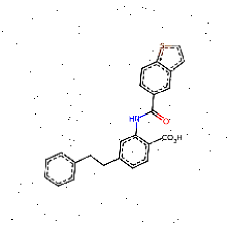 O=C(Nc1cc(CCc2ccccc2)ccc1C(=O)O)c1ccc2sccc2c1